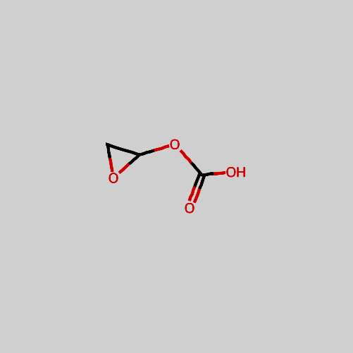 O=C(O)OC1CO1